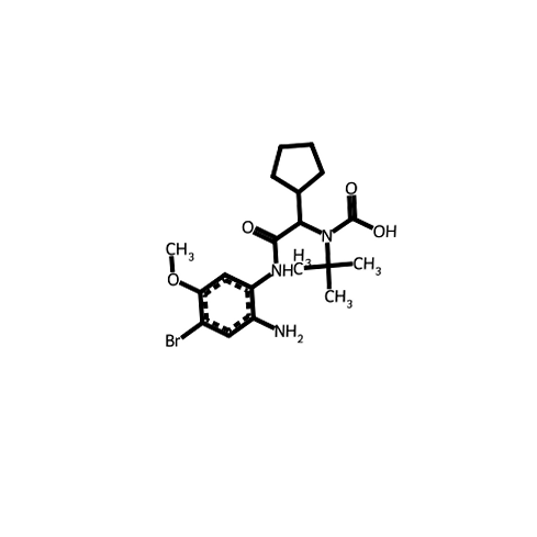 COc1cc(NC(=O)C(C2CCCC2)N(C(=O)O)C(C)(C)C)c(N)cc1Br